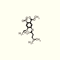 CCOc1cc([N+](=O)[O-])c(C(=O)OC)cc1/N=C(\C)CCN(C)C